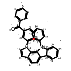 O=C(c1ccccc1)c1cccc(-n2ccc3ccc4c5ccccc5n(-c5ccccc5)c4c32)c1